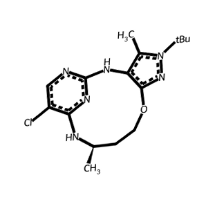 Cc1c2c(nn1C(C)(C)C)OCC[C@@H](C)Nc1nc(ncc1Cl)N2